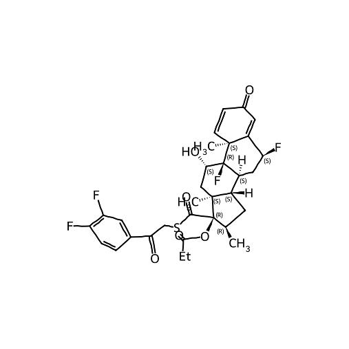 CCC(=O)O[C@]1(C(=O)SCC(=O)c2ccc(F)c(F)c2)[C@H](C)C[C@H]2[C@@H]3C[C@H](F)C4=CC(=O)C=C[C@]4(C)[C@@]3(F)[C@@H](O)C[C@@]21C